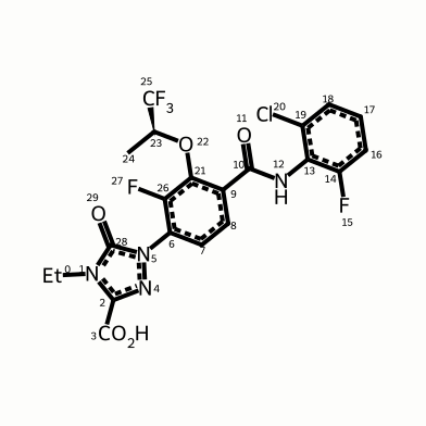 CCn1c(C(=O)O)nn(-c2ccc(C(=O)Nc3c(F)cccc3Cl)c(O[C@@H](C)C(F)(F)F)c2F)c1=O